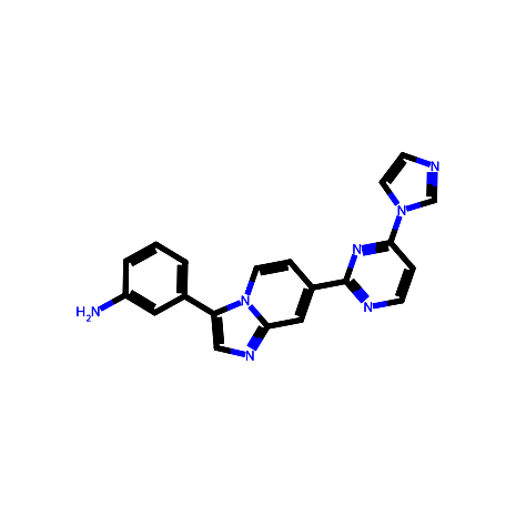 Nc1cccc(-c2cnc3cc(-c4nccc(-n5ccnc5)n4)ccn23)c1